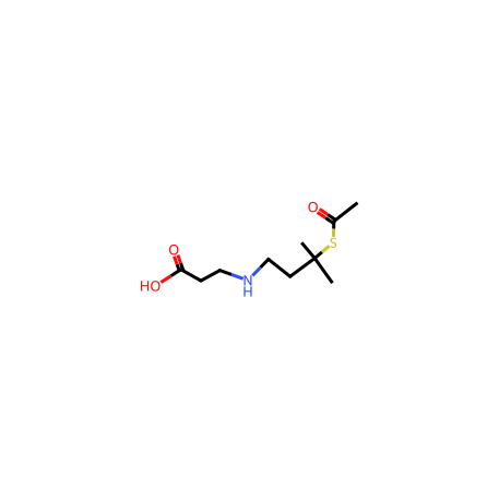 CC(=O)SC(C)(C)CCNCCC(=O)O